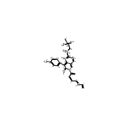 C=C/N=C/C=C\C(=C)n1cc2cnc(NCC(C)(F)F)nc2c(-c2ccc(Cl)cc2)c1=O